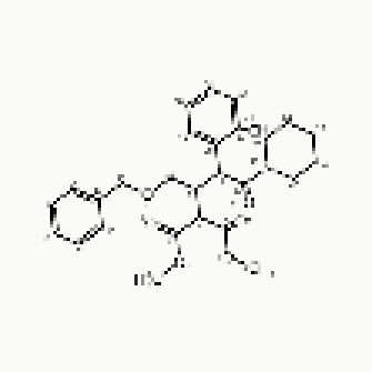 COC(=O)C(C(=O)OC)C(COCc1ccccc1)C(C(=O)N1CCCCC1)c1ccccc1C